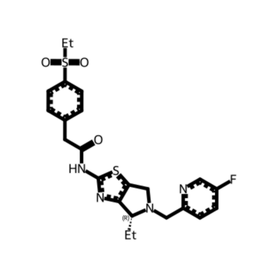 CC[C@@H]1c2nc(NC(=O)Cc3ccc(S(=O)(=O)CC)cc3)sc2CN1Cc1ccc(F)cn1